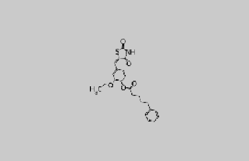 CCOc1cc(C=C2SC(=O)NC2=O)ccc1OC(=O)CCCCc1ccccc1